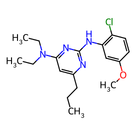 CCCc1cc(N(CC)CC)nc(Nc2cc(OC)ccc2Cl)n1